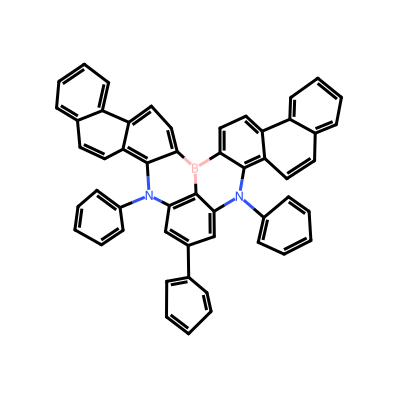 c1ccc(-c2cc3c4c(c2)N(c2ccccc2)c2c(ccc5c2ccc2ccccc25)B4c2ccc4c(ccc5ccccc54)c2N3c2ccccc2)cc1